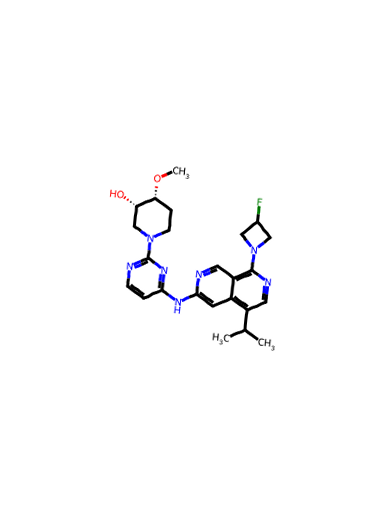 CO[C@@H]1CCN(c2nccc(Nc3cc4c(C(C)C)cnc(N5CC(F)C5)c4cn3)n2)C[C@@H]1O